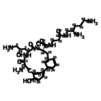 CN1C(=O)[C@H](C[C@@H](O)CN)NC(=O)[C@@H](N)Cc2cc(ccc2O)-c2cccc(c2)C[C@H]1C(=O)NCCC(=O)NC[C@@H](N)CCCN